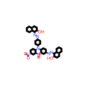 O=[N+]([O-])c1ccc(N(c2ccc(/N=N/c3c(O)ccc4ccccc34)cc2)c2ccc(/N=N/c3c(O)ccc4ccccc34)cc2)c([N+](=O)[O-])c1